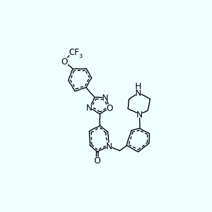 O=c1ccc(-c2nc(-c3ccc(OC(F)(F)F)cc3)no2)cn1Cc1cccc(N2CCNCC2)c1